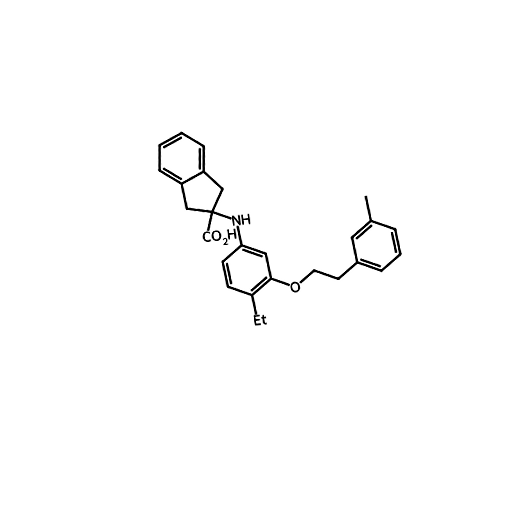 CCc1ccc(NC2(C(=O)O)Cc3ccccc3C2)cc1OCCc1cccc(C)c1